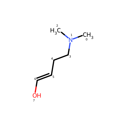 CN(C)CCC=CO